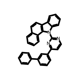 c1ccc(-c2cccc(-c3ccnc(-n4c5ccccc5c5ccc6ccccc6c54)n3)c2)cc1